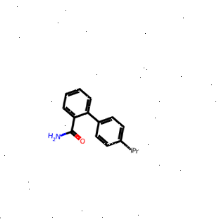 CC(C)c1ccc(-c2ccccc2C(N)=O)cc1